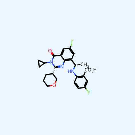 C[C@@H](Nc1ccc(F)cc1C(=O)O)c1cc(F)cc2c(=O)n(C3CC3)c([C@H]3CCCOC3)nc12